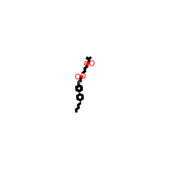 C=C(C)C(=O)OCCCCOC(=O)/C=C/c1ccc([C@H]2CC[C@H](CCCCC)CC2)cc1